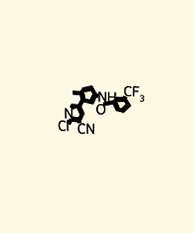 Cc1ccc(NC(=O)c2cccc(C(F)(F)F)c2)cc1-c1cnc(Cl)c(C#N)c1